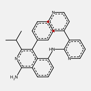 CC(C)c1nc(N)c2cccc(Nc3ncccc3-c3ccncn3)c2c1-c1ccccc1